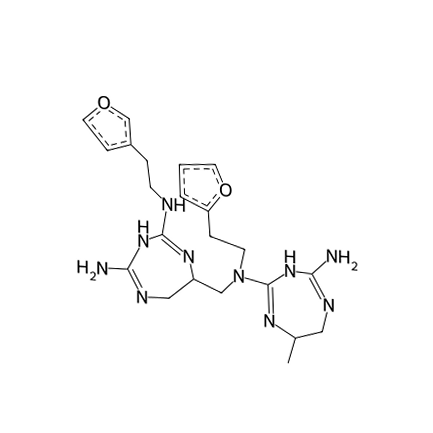 CC1CN=C(N)NC(N(CCc2ccco2)CC2CN=C(N)NC(NCCc3ccoc3)=N2)=N1